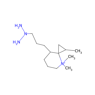 CC1CC12C(CCCN(N)N)CCC[N+]2(C)C